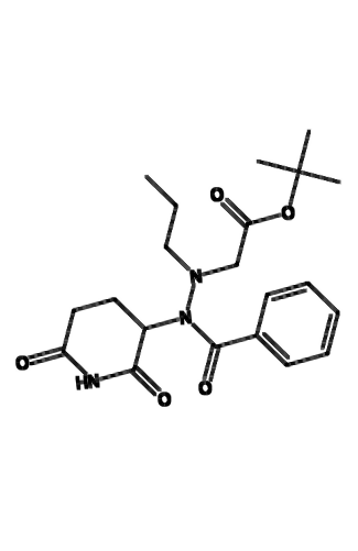 CCCN(CC(=O)OC(C)(C)C)N(C(=O)c1ccccc1)C1CCC(=O)NC1=O